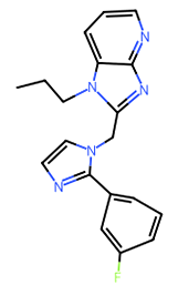 CCCn1c(Cn2ccnc2-c2cccc(F)c2)nc2ncccc21